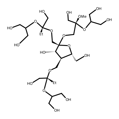 CC[C@@](CO)(OC[C@@H]1[C@@H](CO)O[C@@](CO[C@@](CC)(CO)OC(CO)CO)(OC[C@@](CO)(OC)OC(CO)CO)[C@H]1O)OC(CO)CO